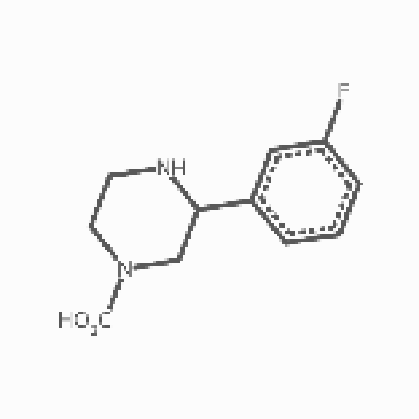 O=C(O)N1CCNC(c2cccc(F)c2)C1